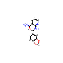 NC(=O)c1cccnc1NCc1ccc2c(c1)OCO2